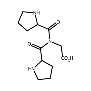 O=C(O)CN(C(=O)C1CCCN1)C(=O)C1CCCN1